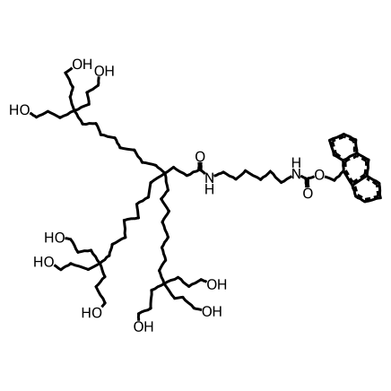 O=C(CCC(CCCCCCCCC(CCCO)(CCCO)CCCO)(CCCCCCCCC(CCCO)(CCCO)CCCO)CCCCCCCCC(CCCO)(CCCO)CCCO)NCCCCCCNC(=O)OCc1c2ccccc2cc2ccccc12